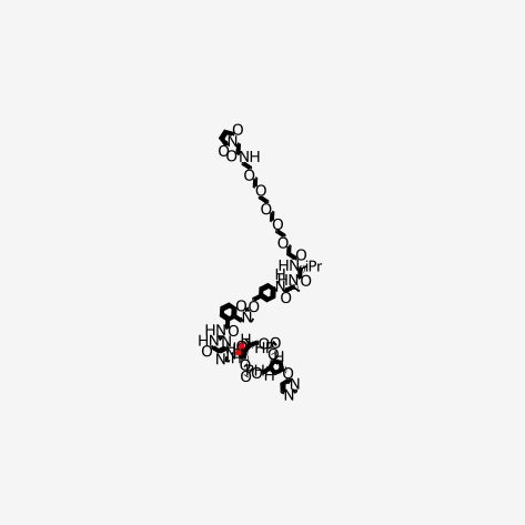 CC(C)[C@H](NC(=O)CCOCCOCCOCCOCCOCCNC(=O)CN1C(=O)C=CC1=O)C(=O)N[C@@H](C)C(=O)Nc1ccc(COC(=O)N(C)Cc2ccccc2C(=O)Nc2nc3c(ncn3[C@@H]3O[C@@H]4CO[PH](=O)O[C@H]5C[C@H](Oc6ccncn6)C[C@@H]5CO[PH](=O)O[C@@H]3[C@@H]4O)c(=O)[nH]2)cc1